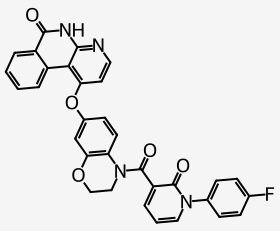 O=C(c1cccn(-c2ccc(F)cc2)c1=O)N1CCOc2cc(Oc3ccnc4[nH]c(=O)c5ccccc5c34)ccc21